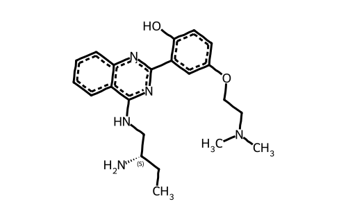 CC[C@H](N)CNc1nc(-c2cc(OCCN(C)C)ccc2O)nc2ccccc12